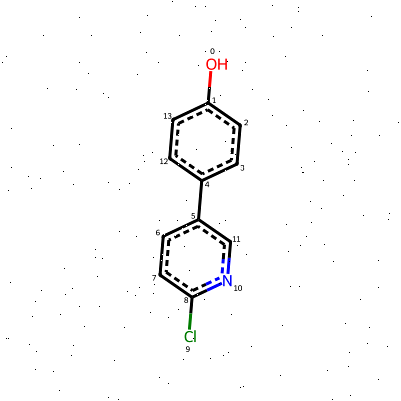 Oc1ccc(-c2ccc(Cl)nc2)cc1